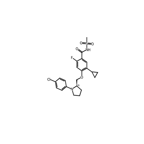 CS(=O)(=O)NC(=O)c1cc(C2CC2)c(OC[C@H]2CCCN2c2ccc(Cl)cc2)cc1F